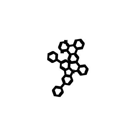 c1ccc(-c2ccc3c(c2)c2cc(-c4ccccc4)ccc2n3-c2ccccc2-c2ccc3c(c2)c2ccccc2c2nccnc32)cc1